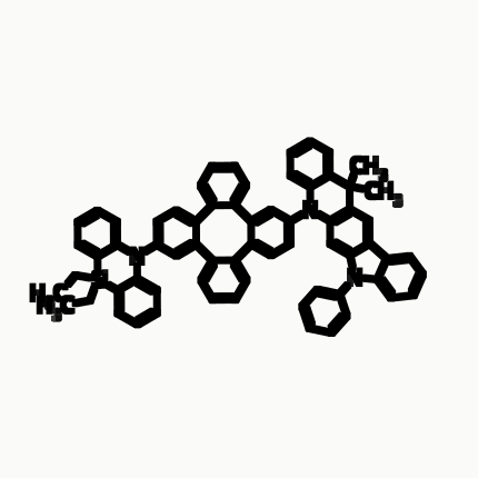 CC[Si]1(CC)c2ccccc2N(c2ccc3c(c2)-c2ccccc2-c2ccc(N4c5ccccc5C(C)(C)c5cc6c7ccccc7n(-c7ccccc7)c6cc54)cc2-c2ccccc2-3)c2ccccc21